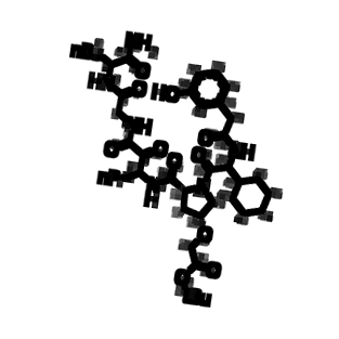 CCCCC(NC(=O)CNC(=O)C(=O)C(CCC)NC(=O)[C@@H]1C[C@@H](OCC(=O)OC(C)(C)C)CN1C(=O)C(NC(=O)Cc1cccc(O)c1)C1CCCCC1)C(N)=O